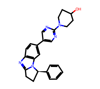 OC1CCN(c2ncc(-c3ccc4nc5n(c4c3)[C@@H](c3ccccc3)CC5)cn2)CC1